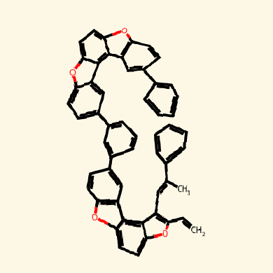 C=Cc1oc2ccc3oc4ccc(-c5cccc(-c6ccc7oc8ccc9oc%10ccc(-c%11ccccc%11)cc%10c9c8c7c6)c5)cc4c3c2c1/C=C(\C)c1ccccc1